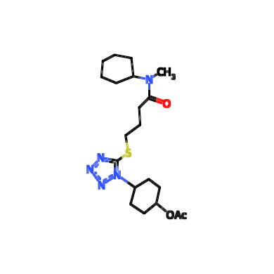 CC(=O)OC1CCC(n2nnnc2SCCCC(=O)N(C)C2CCCCC2)CC1